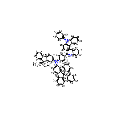 CC1(C)c2ccccc2-c2ccc(N(c3ccc(-c4nc5ccccc5c5c4ccc4c5c5ccccc5n4-c4ccccc4)cc3)c3ccc4c(c3)C(c3ccccc3)(c3ccccc3)c3ccccc3-4)cc21